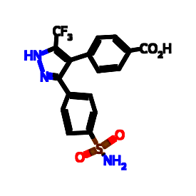 NS(=O)(=O)c1ccc(-c2n[nH]c(C(F)(F)F)c2-c2ccc(C(=O)O)cc2)cc1